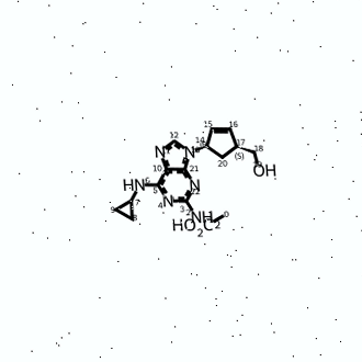 CC(=O)O.Nc1nc(NC2CC2)c2ncn([C@H]3C=C[C@@H](CO)C3)c2n1